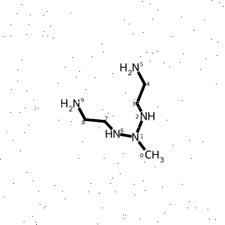 CN(NCCN)NCCN